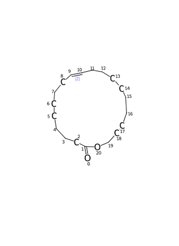 O=C1CCCCCCC/C=C\CCCCCCCCCO1